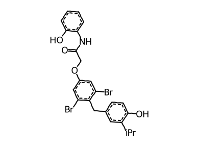 CC(C)c1cc(Cc2c(Br)cc(OCC(=O)Nc3ccccc3O)cc2Br)ccc1O